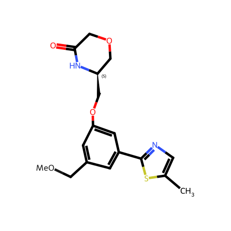 COCc1cc(OC[C@@H]2COCC(=O)N2)cc(-c2ncc(C)s2)c1